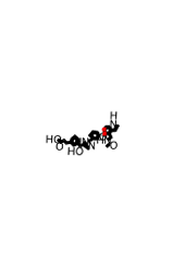 CC(=O)NCc1c(Oc2cccc(-c3ncc(C(O)c4cccc(CCC(=O)O)c4)[nH]3)c2)ccc2[nH]ccc12